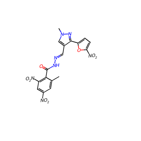 Cc1cc([N+](=O)[O-])cc([N+](=O)[O-])c1C(=O)NN=Cc1cn(C)nc1-c1ccc([N+](=O)[O-])o1